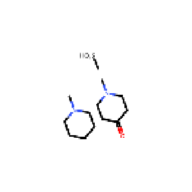 CN1CCC(=O)CC1.CN1CCCCC1.CS(=O)(=O)O